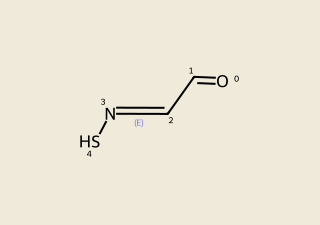 O=C/C=N/S